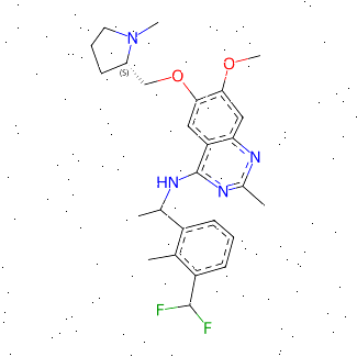 COc1cc2nc(C)nc(NC(C)c3cccc(C(F)F)c3C)c2cc1OC[C@@H]1CCCN1C